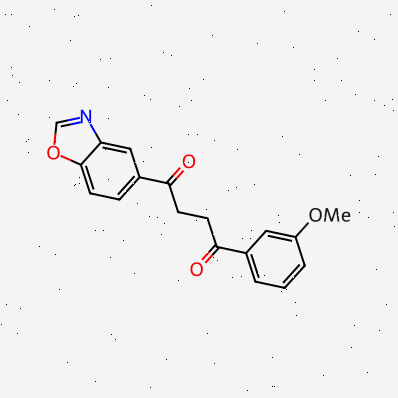 COc1cccc(C(=O)CCC(=O)c2ccc3ocnc3c2)c1